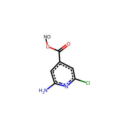 Nc1cc(C(=O)ON=O)cc(Cl)n1